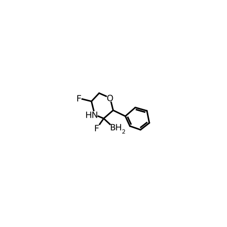 BC1(F)NC(F)COC1c1ccccc1